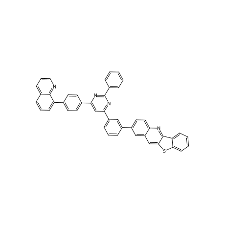 c1ccc(-c2nc(-c3ccc(-c4cccc5cccnc45)cc3)cc(-c3cccc(-c4ccc5nc6c(cc5c4)sc4ccccc46)c3)n2)cc1